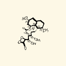 CC[C@H](C)C(=O)O[C@H]1C[C@H](O)C=C2C=C[C@H](C)[C@H](CC[C@@H](O)C[C@@H](O)C3OOC3=O)[C@H]21